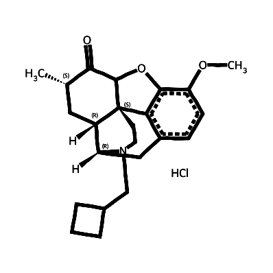 COc1ccc2c3c1OC1C(=O)[C@@H](C)C[C@H]4[C@@H](C2)N(CC2CCC2)CC[C@]314.Cl